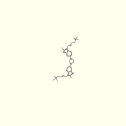 Cc1nc2cc(N3CCN(c4ccc5c(c4)nc(C)n5COCC[Si](C)(C)C)C3)ccc2n1COCC[Si](C)(C)C